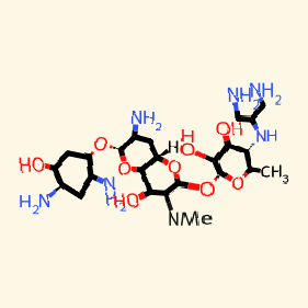 CNC1C(O[C@H]2OC(C)[C@@H](NC(CN)CN)C(O)C2O)O[C@H]2CC(N)[C@@H](O[C@H]3CC(O)[C@H](N)CC3N)OC2C1O